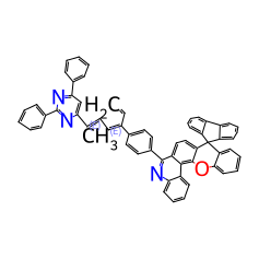 C=C/C(=C\C=C(/C)c1cc(-c2ccccc2)nc(-c2ccccc2)n1)c1ccc(-c2nc3ccccc3c3c4c(ccc23)C2(c3ccccc3O4)c3ccccc3-c3ccccc32)cc1